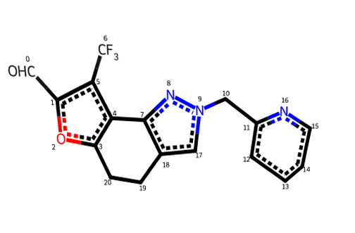 O=Cc1oc2c(c1C(F)(F)F)-c1nn(Cc3ccccn3)cc1CC2